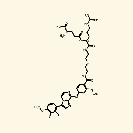 CCc1cc(Nc2nccn3c(-c4ccc(OC)c(F)c4F)cnc23)ccc1C(=O)NCCOCCNC(=O)[C@H](CCCNC(=N)N)NC(=O)CC[C@H](N)C(=O)O